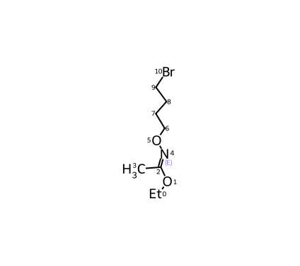 CCO/C(C)=N/OCCCCBr